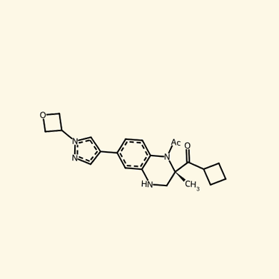 CC(=O)N1c2ccc(-c3cnn(C4COC4)c3)cc2NC[C@@]1(C)C(=O)C1CCC1